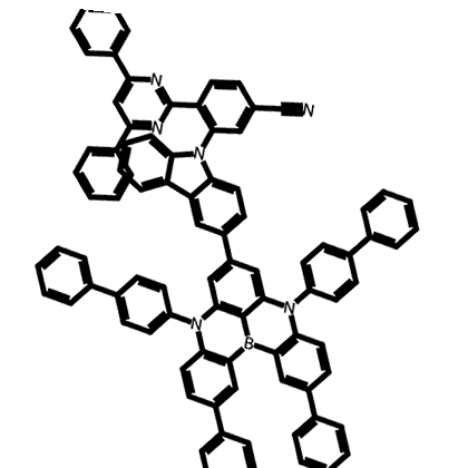 N#Cc1ccc(-c2nc(-c3ccccc3)cc(-c3ccccc3)n2)c(-n2c3ccccc3c3cc(-c4cc5c6c(c4)N(c4ccc(-c7ccccc7)cc4)c4ccc(-c7ccccc7)cc4B6c4cc(-c6ccccc6)ccc4N5c4ccc(-c5ccccc5)cc4)ccc32)c1